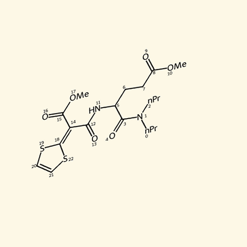 CCCN(CCC)C(=O)C(CCC(=O)OC)NC(=O)C(C(=O)OC)=C1SC=CS1